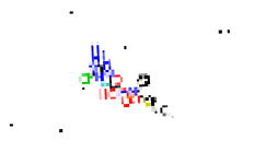 Nc1nc(Cl)nc2c1ncn2[C@@H]1O[C@H](COP(=O)(NCc2ccccc2)OCc2ccc([N+](=O)[O-])s2)C(O)C1F